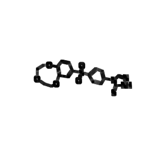 O=S(=O)(c1ccc(-n2cn[nH]c2=S)cc1)c1ccc2c(c1)OCCOCCO2